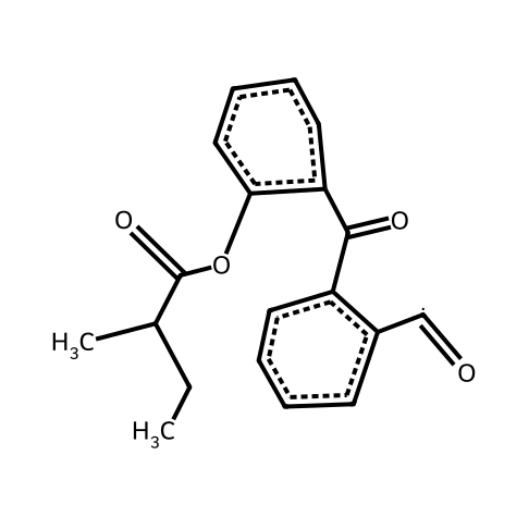 CCC(C)C(=O)Oc1ccccc1C(=O)c1ccccc1[C]=O